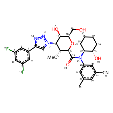 CO[C@@H]1[C@@H](n2cc(-c3cc(F)cc(F)c3)nn2)[C@@H](O)[C@@H](CO)O[C@H]1C(=O)N(c1cc(C)cc(C#N)c1)[C@H]1CCCC[C@@H]1O